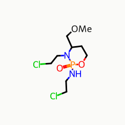 COCC1CCOP(=O)(NCCCl)N1CCCl